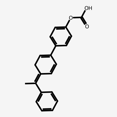 CC(=C1C=CC(c2ccc(OC(=O)O)cc2)=CC1)c1ccccc1